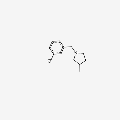 CC1CCN(Cc2cccc(Cl)c2)C1